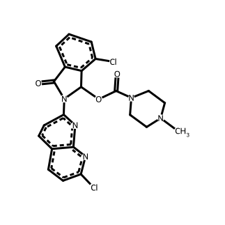 CN1CCN(C(=O)OC2c3c(Cl)cccc3C(=O)N2c2ccc3ccc(Cl)nc3n2)CC1